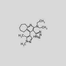 CCN(CC)c1nc2c(c(-c3cnn(C)c3C)c1-c1nnn[nH]1)CCCCC2